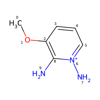 COc1ccc[n+](N)c1N